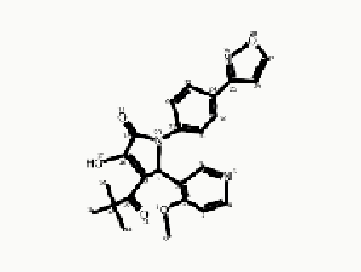 COc1ccncc1C1C(C(=O)C(C)(C)C)=C(O)C(=O)N1c1ccc(-c2ccon2)cc1